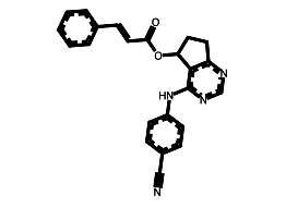 N#Cc1ccc(Nc2ncnc3c2C(OC(=O)C=Cc2ccccc2)CC3)cc1